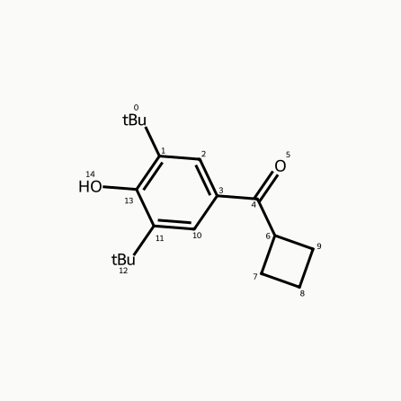 CC(C)(C)c1cc(C(=O)C2CCC2)cc(C(C)(C)C)c1O